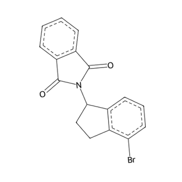 O=C1c2ccccc2C(=O)N1C1CCc2c(Br)cccc21